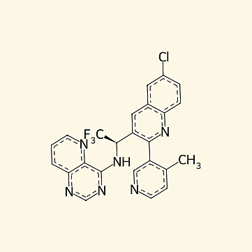 Cc1ccncc1-c1nc2ccc(Cl)cc2cc1[C@@H](Nc1ncnc2cccnc12)C(F)(F)F